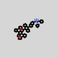 c1ccc(-c2ccccc2-c2c3ccccc3c(-c3ccccc3-c3ccccc3)c3cc(-c4c5ccccc5c(-c5ccc6cc(-c7nnc(-c8ccccc8)n7-c7ccccc7)ccc6c5)c5ccccc45)ccc23)cc1